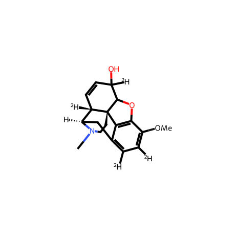 [2H]c1c([2H])c(OC)c2c3c1C[C@H]1N(C)CC[C@@]34C(O2)C([2H])(O)C=C[C@@]14[2H]